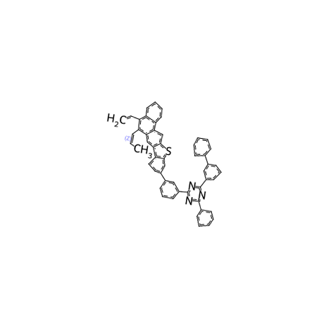 C=Cc1c(/C=C\C)c2cc3c(cc2c2ccccc12)sc1cc(-c2cccc(-c4nc(-c5ccccc5)nc(-c5cccc(-c6ccccc6)c5)n4)c2)ccc13